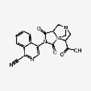 N#Cc1ncc(N2C(=O)C3C[N@@]4CC(C(=O)O)[N+]3(C4)C2=O)c2ccccc12